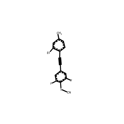 CCc1cc(C)ccc1C#Cc1cc(F)c(SC#N)c(F)c1